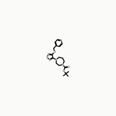 CC(C)(C)OC(=O)N1CCCN(c2nsnc2OCc2ccncc2)CC1